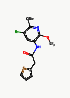 COc1nc(OC(F)(F)F)c(NC(=O)Cc2cccs2)cc1Br